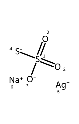 O=S(=O)([O-])[S-].[Ag+].[Na+]